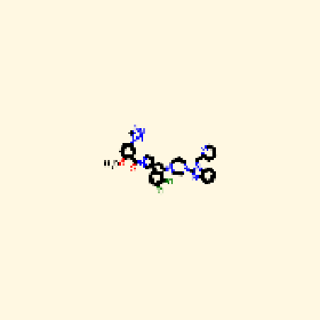 COc1ccc(-n2cnnn2)cc1C(=O)N1CCC(CCN2CCCN(c3nc4ccccc4n3Cc3ccccn3)CC2)(c2ccc(Cl)c(Cl)c2)C1